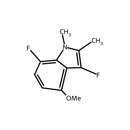 COc1ccc(F)c2c1c(F)c(C)n2C